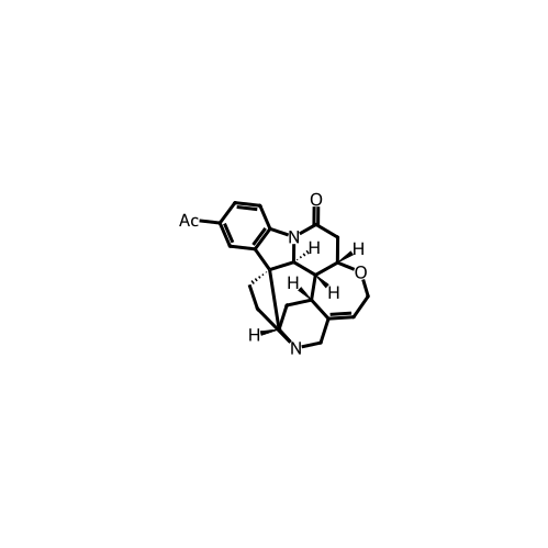 CC(=O)c1ccc2c(c1)[C@@]13CCN4CC5=CCO[C@H]6CC(=O)N2[C@H]1[C@H]6[C@H]5C[C@H]43